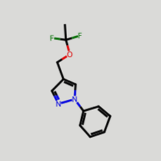 CC(F)(F)OCc1cnn(-c2ccccc2)c1